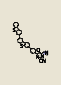 C/N=C\c1nc(C#N)nc2c1oc1cc(-c3ccc4c(c3)sc3ccc(-c5ccc6c(c5)sc5ccccc56)cc34)ccc12